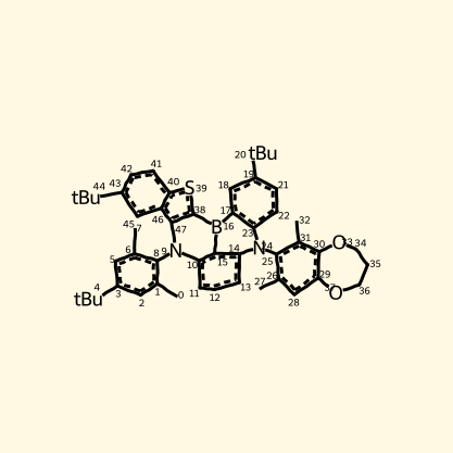 Cc1cc(C(C)(C)C)cc(C)c1N1c2cccc3c2B(c2cc(C(C)(C)C)ccc2N3c2c(C)cc3c(c2C)OCCCO3)c2sc3ccc(C(C)(C)C)cc3c21